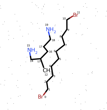 BrCCCCCCCCCCBr.CC(CN)CCCN